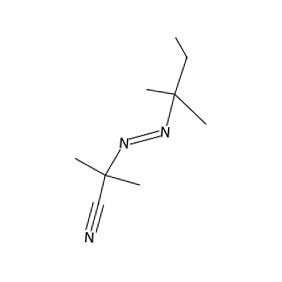 CCC(C)(C)/N=N/C(C)(C)C#N